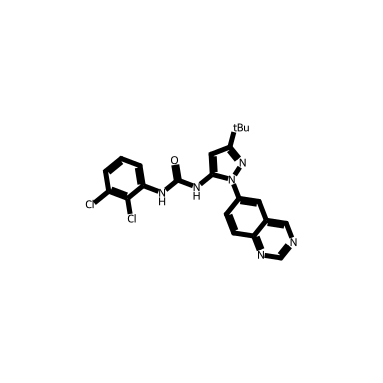 CC(C)(C)c1cc(NC(=O)Nc2cccc(Cl)c2Cl)n(-c2ccc3ncncc3c2)n1